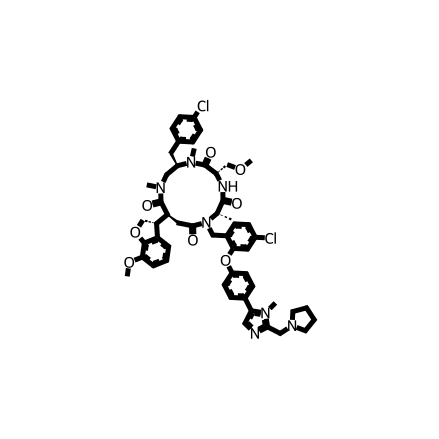 COC[C@@H]1NC(=O)[C@H](C)N(Cc2ccc(Cl)cc2Oc2ccc(-c3cnc(CN4CCCC4)n3C)cc2)C(=O)C[C@@H]([C@H]2COc3c(OC)cccc32)C(=O)N(C)C[C@@H](Cc2ccc(Cl)cc2)N(C)C1=O